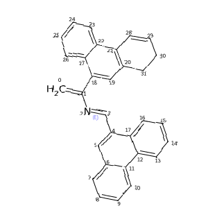 C=C(/N=C/c1cc2ccccc2c2ccccc12)c1cc2c(c3ccccc13)C=CCC2